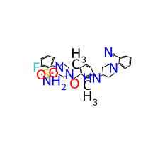 Cc1ccc(NC2CCN(c3ccccc3C#N)CC2)c(C)c1C(=O)N1CCN(c2cccc(F)c2S(N)(=O)=O)CC1